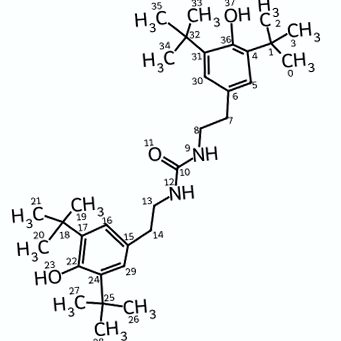 CC(C)(C)c1cc(CCNC(=O)NCCc2cc(C(C)(C)C)c(O)c(C(C)(C)C)c2)cc(C(C)(C)C)c1O